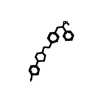 C[C@H](Cc1ccc(CCC2CCC(c3ccc(F)cc3)CC2)cc1)c1ccccc1